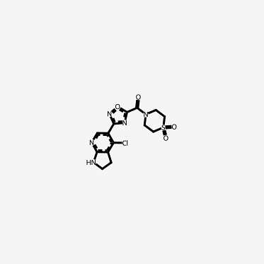 O=C(c1nc(-c2cnc3c(c2Cl)CCN3)no1)N1CCS(=O)(=O)CC1